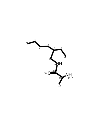 CCCCC(CC)CNC(=O)C(C)N